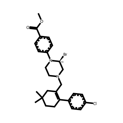 COC(=O)c1ccc(N2CCN(CC3=C(c4ccc(Cl)cc4)CCC(C)(C)C3)C[C@@H]2Br)cc1